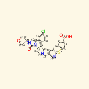 O=C(O)c1ccc(Sc2ccc(CN3CCC(N4C(=O)N(C5CCOCC5)CC4c4cccc(Cl)c4)CC3)cn2)cc1